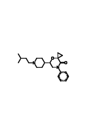 CC(C)CCN1CCC(C2CN(c3ccccc3)C(=O)C3(CC3)O2)CC1